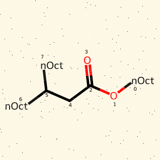 CCCCCCCCOC(=O)CC(CCCCCCCC)CCCCCCCC